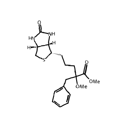 COC(=O)C(CCC[C@@H]1SC[C@@H]2NC(=O)N[C@@H]21)(Cc1ccccc1)OC